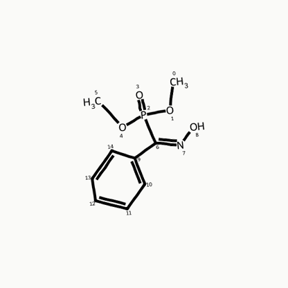 COP(=O)(OC)C(=NO)c1ccccc1